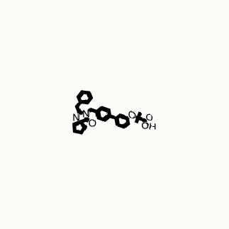 CC(C)(Oc1cccc(-c2ccc(CN3C(=O)C4(CCCC4)N=C3Cc3ccccc3)cc2)c1)C(=O)O